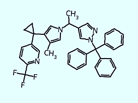 Cc1cn(C(C)c2cnn(C(c3ccccc3)(c3ccccc3)c3ccccc3)c2)cc1C1(c2ccc(C(F)(F)F)nc2)CC1